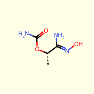 C[C@H](OC(N)=O)C(N)=NO